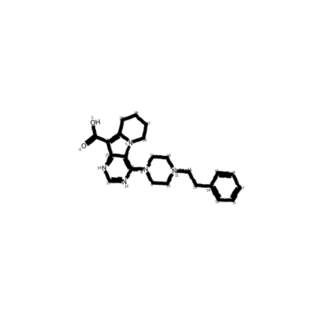 O=C(O)c1c2n(c3c(N4CCN(CCc5ccccc5)CC4)ncnc13)CCCC2